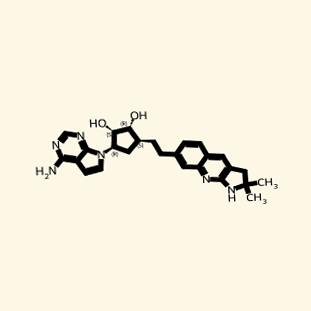 CC1(C)Cc2cc3ccc(CC[C@H]4C[C@@H](n5ccc6c(N)ncnc65)[C@H](O)[C@@H]4O)cc3nc2N1